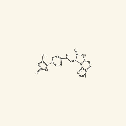 Cc1cc(=O)[nH]n1-c1ccc(NC=C2C(=O)Nc3ccc4ncsc4c32)cc1